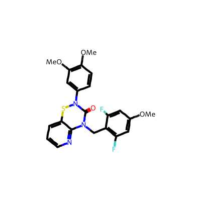 COc1cc(F)c(CN2C(=O)N(c3ccc(OC)c(OC)c3)Sc3cccnc32)c(F)c1